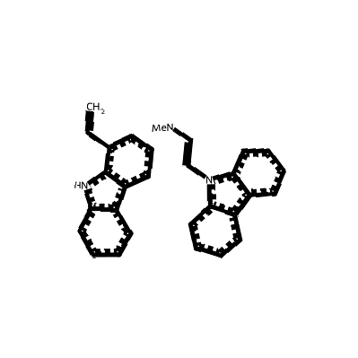 C=Cc1cccc2c1[nH]c1ccccc12.CNC=Cn1c2ccccc2c2ccccc21